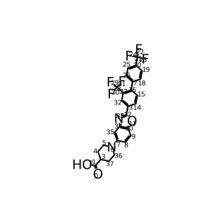 O=C(O)C1CCN(c2ccc3oc(-c4ccc(-c5ccc(C(F)(F)F)cc5)c(C(F)(F)F)c4)nc3c2)CC1